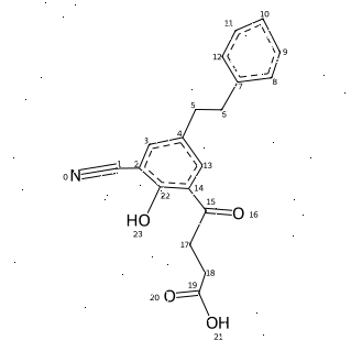 N#Cc1cc(CCc2ccccc2)cc(C(=O)CCC(=O)O)c1O